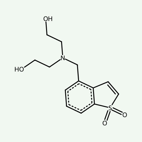 O=S1(=O)C=Cc2c(CN(CCO)CCO)cccc21